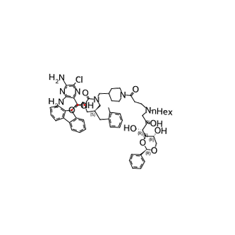 CCCCCCN(CCC(=O)N1CCC(CN(C[C@H](CNC(=O)c2nc(Cl)c(N)nc2N)Cc2ccccc2C)C(=O)OCC2c3ccccc3-c3ccccc32)CC1)C[C@@H](O)[C@@H](O)[C@@H]1O[C@H](c2ccccc2)OC[C@H]1O